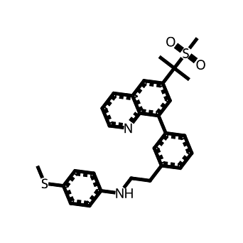 CSc1ccc(NCCc2cccc(-c3cc(C(C)(C)S(C)(=O)=O)cc4cccnc34)c2)cc1